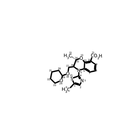 Cc1cnc(N2c3cccc(C(=O)O)c3O[C@@H](C)C2COC2CCCCO2)s1